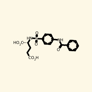 O=C(O)CC[C@@H](NS(=O)(=O)c1ccc(NC(=O)c2ccccc2)cc1)C(=O)O